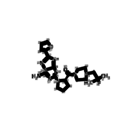 CC(C)(F)CN1CCN(C(=O)[C@H]2CCCN2c2nc(N)n3nc(-c4ccco4)nc3n2)CC1